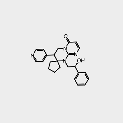 O=c1ccnc2n1CC(c1ccncc1)C1(CCCC1)N2C[C@@H](O)c1ccccc1